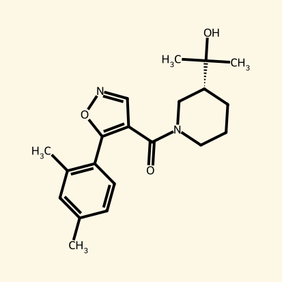 Cc1ccc(-c2oncc2C(=O)N2CCC[C@@H](C(C)(C)O)C2)c(C)c1